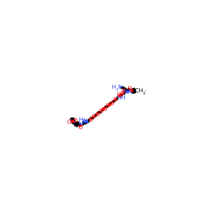 [CH2]c1ccc(NC(=O)[C@H](CCCCN)NC(=O)COCC(=O)NCCOCCOCCOCCOCCOCCOCCOCCOCCn2cc(CNC(=O)C3CCC(CN4C(=O)C=CC4=O)CC3)nn2)cc1